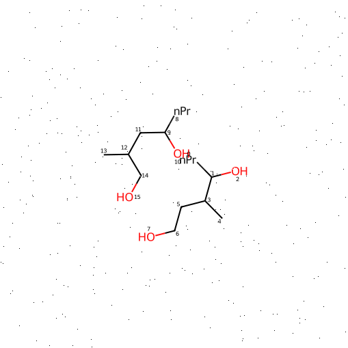 CCCC(O)C(C)CCO.CCCC(O)CC(C)CO